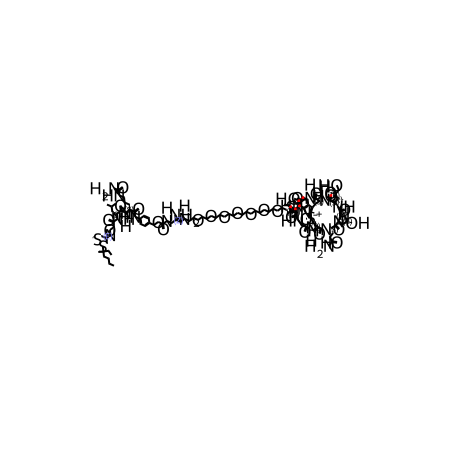 CCCCC(C)(CC)SC/C(CSC)=N/OCC(=O)N[C@@H](CC(C)C)C(=O)N[C@@H](CCCNC(N)=O)C(=O)Nc1ccc(COC(=O)NC/C(N)=C/NCCOCCOCCOCCOCCOCCOCCOCCSCc2c(O)ccc3c4c([nH]c23)[S+]([O-])C[C@H]2NC(=O)CNC(=O)[C@H]([C@@H](C)CC)NC(=O)CNC(=O)[C@H](C4)NC(=O)[C@H]([C@@H](C)[C@@H](O)CO)NC(=O)[C@@H]3C[C@@H](O)CN3C(=O)[C@H](CCC(N)=O)NC2=O)cc1